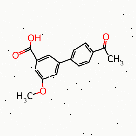 COc1cc(C(=O)O)cc(-c2ccc(C(C)=O)cc2)c1